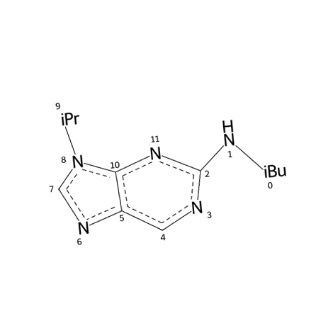 CCC(C)Nc1ncc2ncn(C(C)C)c2n1